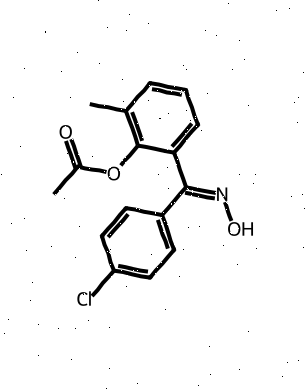 CC(=O)Oc1c(C)cccc1C(=NO)c1ccc(Cl)cc1